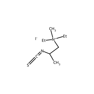 CC[N+](C)(CC)CC(C)N=C=S.[I-]